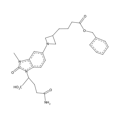 Cn1c(=O)n(C(CCC(N)=O)C(=O)O)c2ccc(N3CC(CCCC(=O)OCc4ccccc4)C3)cc21